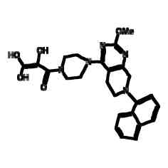 COc1nc2c(c(N3CCN(C(=O)C(O)=C(O)O)CC3)n1)CCN(c1cccc3ccccc13)C2